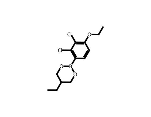 CCOc1ccc(B2OCC(CC)CO2)c(Cl)c1Cl